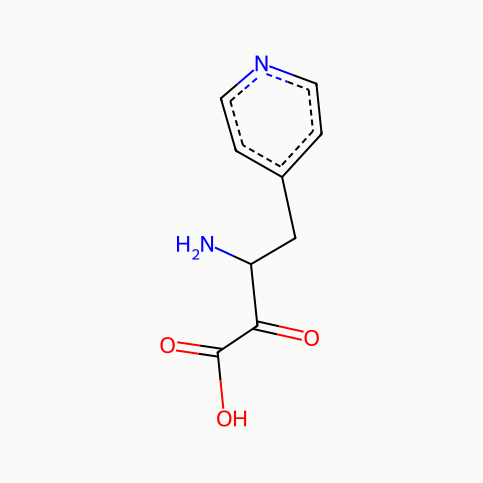 NC(Cc1ccncc1)C(=O)C(=O)O